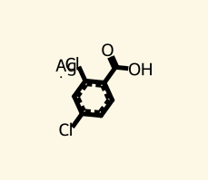 O=C(O)c1ccc(Cl)cc1Cl.[Ag]